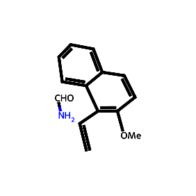 C=Cc1c(OC)ccc2ccccc12.NC=O